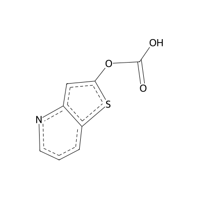 O=C(O)Oc1cc2ncccc2s1